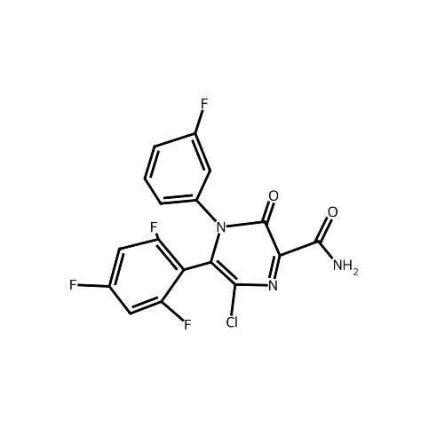 NC(=O)c1nc(Cl)c(-c2c(F)cc(F)cc2F)n(-c2cccc(F)c2)c1=O